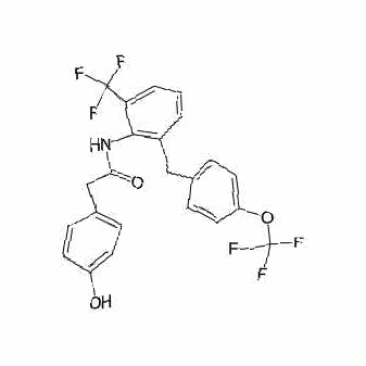 O=C(Cc1ccc(O)cc1)Nc1c(Cc2ccc(OC(F)(F)F)cc2)cccc1C(F)(F)F